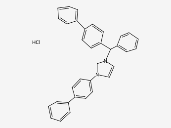 C1=CN(C(c2ccccc2)c2ccc(-c3ccccc3)cc2)CN1c1ccc(-c2ccccc2)cc1.Cl